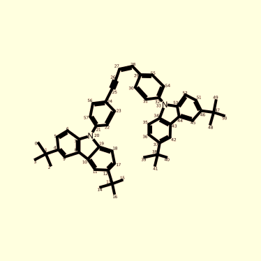 CC(C)(C)c1ccc2c(c1)c1cc(C(C)(C)C)ccc1n2-c1ccc(C#C/C=C\c2ccc(-n3c4ccc(C(C)(C)C)cc4c4cc(C(C)(C)C)ccc43)cc2)cc1